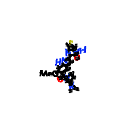 COc1cc2[nH]c(-c3nc4cscc4[nH]c3=O)cc2cc1C(=O)N1CC[C@H](N(C)C)C1